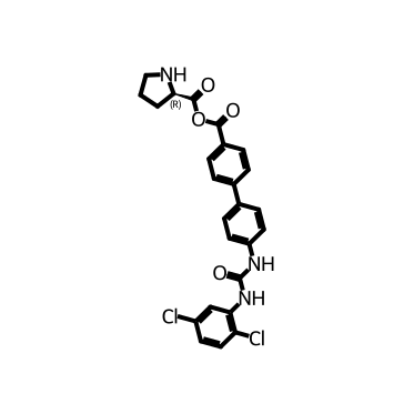 O=C(Nc1ccc(-c2ccc(C(=O)OC(=O)[C@H]3CCCN3)cc2)cc1)Nc1cc(Cl)ccc1Cl